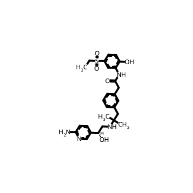 CCS(=O)(=O)c1ccc(O)c(NC(=O)Cc2cccc(CC(C)(C)NC[C@H](O)c3ccc(N)nc3)c2)c1